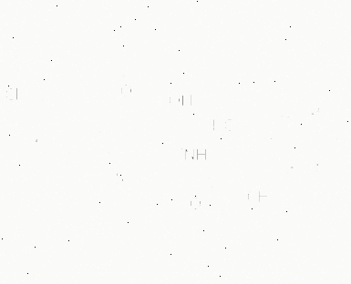 CC(C(=O)Nc1csc(-c2ccc(Cl)cc2)c1C(=O)O)C(C)c1ccccc1